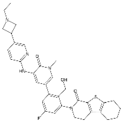 CCN1CC(c2ccc(Nc3cc(-c4cc(F)cc(N5CCc6c(sc7c6CCCC7)C5=O)c4CO)cn(C)c3=O)nc2)C1